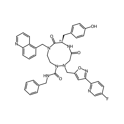 O=C1CN(Cc2cc(-c3ccc(F)cn3)no2)N(C(=O)NCc2ccccc2)CCN(Cc2cccc3ncccc23)C(=O)[C@@H](Cc2ccc(O)cc2)N1